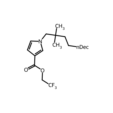 CCCCCCCCCCCCC(C)(C)Cn1ccc(C(=O)OCC(F)(F)F)c1